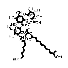 CCCCCCCCCCCCCCCC(=O)OCC(COP(=O)(O)OC1[C@H](O[C@H]2O[C@H](CO)[C@@H](O)[C@H](O)[C@@H]2O)[C@H](O)C(O)[C@H](O)[C@H]1O[C@H]1O[C@H](CO)[C@@H](O)[C@H](O)[C@@H]1O)OC(=O)CCCCCCCCC(C)CCCCCCCC